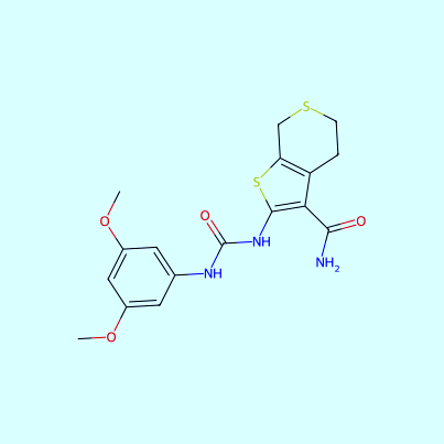 COc1cc(NC(=O)Nc2sc3c(c2C(N)=O)CCSC3)cc(OC)c1